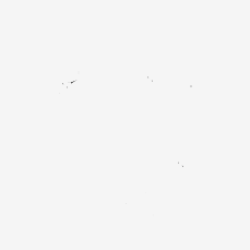 Cl.N[C@H]1CCCc2nc(-c3cc(C4CC4)ncc3F)oc21